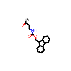 CC(C)C(=O)CCNC(=O)OCC1c2ccccc2-c2ccccc21